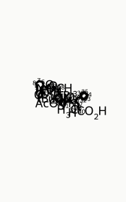 CC[C@H](C)[C@H](NC(=O)[C@@H]1CCCCN1C(=O)OC(C)(C)C)C(=O)N(C)C(C[C@@H](OC(C)=O)c1nc(C(=O)NC(Cc2ccccc2)CC(C)C(=O)O)cs1)C(C)C